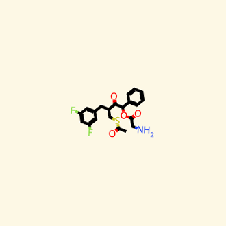 CC(=O)SCC(Cc1cc(F)cc(F)c1)C(=O)C(OC(=O)CN)c1ccccc1